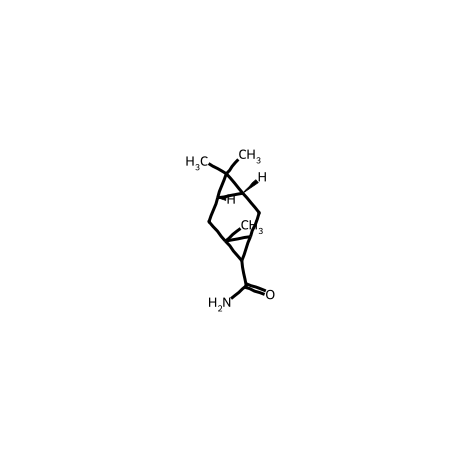 CC12C[C@H]3[C@@H](CC1C2C(N)=O)C3(C)C